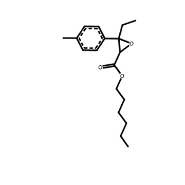 CCCCCCOC(=O)C1OC1(CC)c1ccc(C)cc1